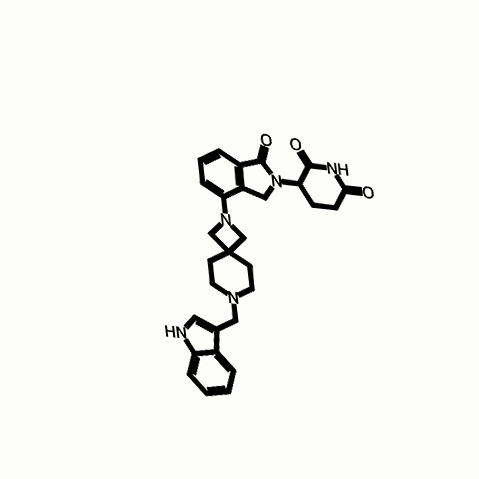 O=C1CCC(N2Cc3c(cccc3N3CC4(CCN(Cc5c[nH]c6ccccc56)CC4)C3)C2=O)C(=O)N1